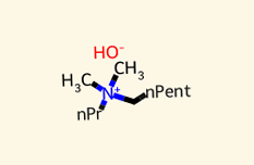 CCCCCC[N+](C)(C)CCC.[OH-]